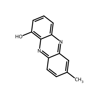 Cc1ccc2nc3c(O)cccc3nc2c1